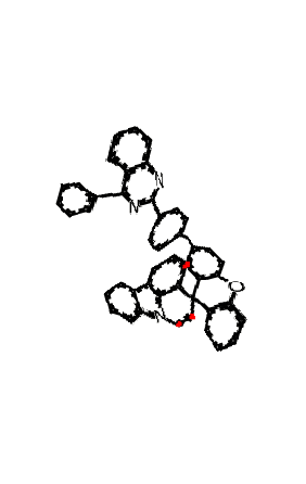 c1ccc(-c2nc(-c3ccc(-c4ccc5c(c4)C4(c6ccccc6O5)c5ccccc5-n5c6ccccc6c6cccc4c65)cc3)nc3ccccc23)cc1